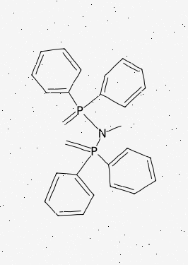 C=P(c1ccccc1)(c1ccccc1)N(C)P(=C)(c1ccccc1)c1ccccc1